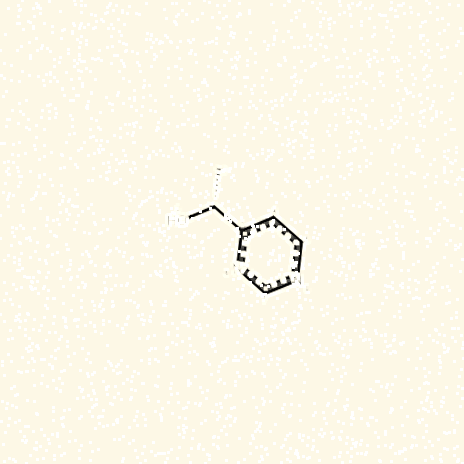 C[C@@H](O)c1ccncn1